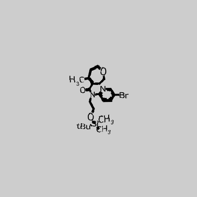 CC1=C(C(=O)N(CCO[Si](C)(C)C(C)(C)C)c2ccc(Br)cn2)CCOCC1